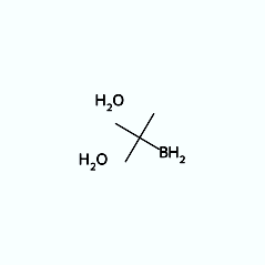 BC(C)(C)C.O.O